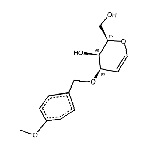 COc1ccc(CO[C@@H]2C=CO[C@H](CO)[C@@H]2O)cc1